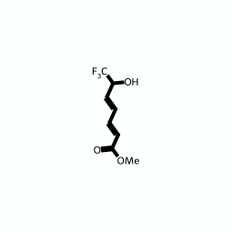 COC(=O)C=CC=CC(O)C(F)(F)F